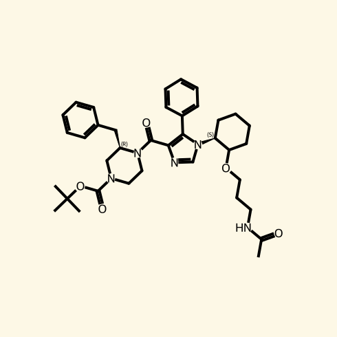 CC(=O)NCCCOC1CCCC[C@@H]1n1cnc(C(=O)N2CCN(C(=O)OC(C)(C)C)C[C@H]2Cc2ccccc2)c1-c1ccccc1